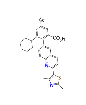 CC(=O)c1cc(C(=O)O)c(-c2ccc3nc(-c4sc(C)nc4C)ccc3c2)c(C2CCCCC2)c1